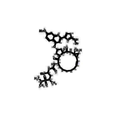 COc1ccc2c(O[C@@H]3C[C@H]4C(=O)N[C@]5(C(=O)O)CC5/C=C\CCCCC[C@H](NC(=O)OC(CN(C)S(=O)(=O)N(C)C)C(C)(C)C)C(=O)N4C3)cc(-c3csc(NC(C)C)n3)nc2c1